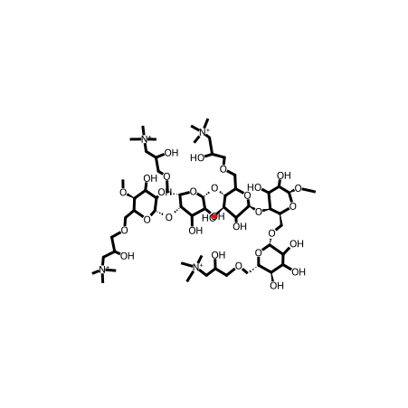 CO[C@H]1O[C@@H](CO[C@H]2O[C@@H](COCC(O)C[N+](C)(C)C)[C@H](O)C(O)C2O)[C@@H](O[C@@H]2OC(COCC(O)C[N+](C)(C)C)[C@@H](O[C@H]3O[C@@H](COCC(O)C[N+](C)(C)C)[C@@H](O[C@@H]4OC(COCC(O)C[N+](C)(C)C)[C@@H](OC)C(O)C4O)C(O)C3O)[C@H](O)C2O)C(O)C1O